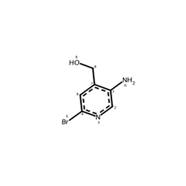 Nc1cnc(Br)cc1CO